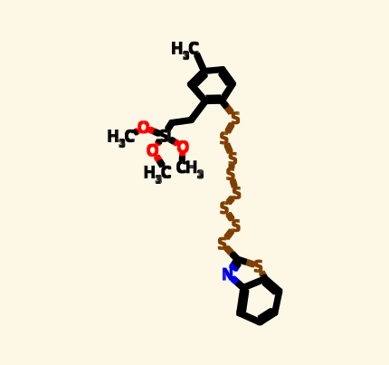 CO[Si](CCc1cc(C)ccc1SSSSSSSSc1nc2ccccc2s1)(OC)OC